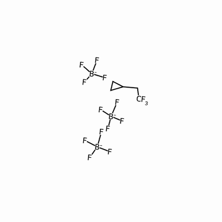 FC(F)(F)CC1CC1.F[B-](F)(F)F.F[B-](F)(F)F.F[B-](F)(F)F